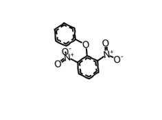 O=[N+]([O-])c1cccc([N+](=O)[O-])c1Oc1ccccc1